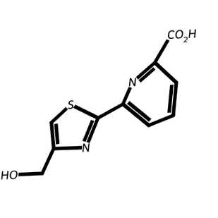 O=C(O)c1cccc(-c2nc(CO)cs2)n1